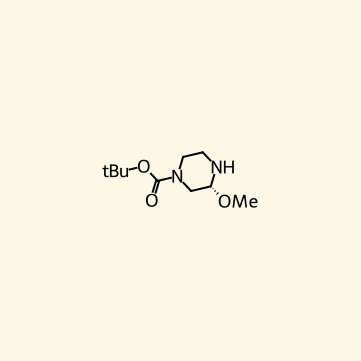 CO[C@@H]1CN(C(=O)OC(C)(C)C)CCN1